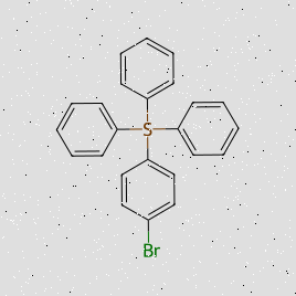 Brc1ccc(S(c2ccccc2)(c2ccccc2)c2ccccc2)cc1